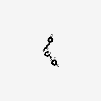 ClCC(CCc1ccc(Cl)cc1)O[C@H]1CCC[C@H](COc2ccc(Cl)cc2Cl)O1